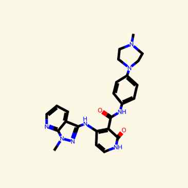 CN1CCN(c2ccc(NC(=O)c3c(Nc4nn(C)c5ncccc45)cc[nH]c3=O)cc2)CC1